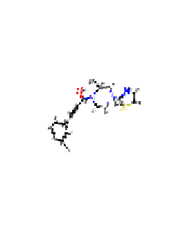 Cc1cccc(C#CC(=O)N2CCN(c3nccs3)CC2C)c1